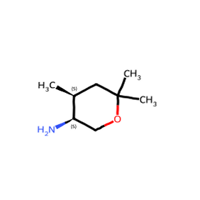 C[C@H]1CC(C)(C)OC[C@H]1N